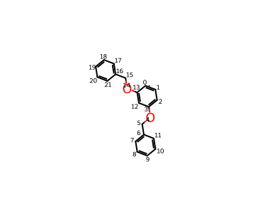 [c]1ccc(OCc2ccccc2)cc1OCc1ccccc1